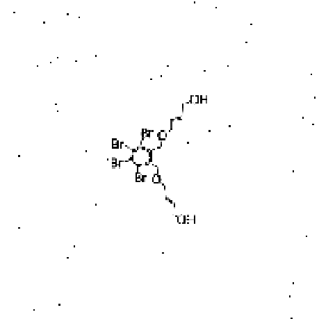 OCC=CCOCc1c(Br)c(Br)c(Br)c(Br)c1COCC=CCO